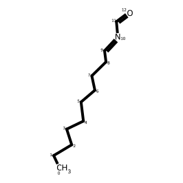 CCCCCCCCCC=NC=O